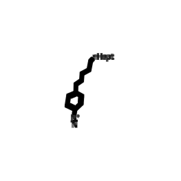 CCCCCCCCCCCCc1ccc([N+]#N)cc1